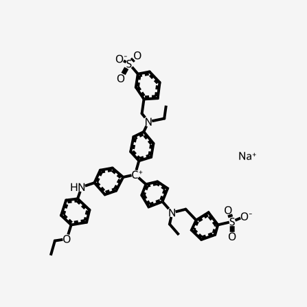 CCOc1ccc(Nc2ccc([C+](c3ccc(N(CC)Cc4cccc(S(=O)(=O)[O-])c4)cc3)c3ccc(N(CC)Cc4cccc(S(=O)(=O)[O-])c4)cc3)cc2)cc1.[Na+]